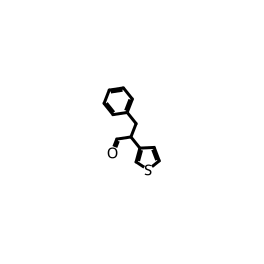 O=CC(Cc1ccccc1)c1ccsc1